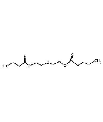 CCCCC(=O)OCCOCCOC(=O)CCC